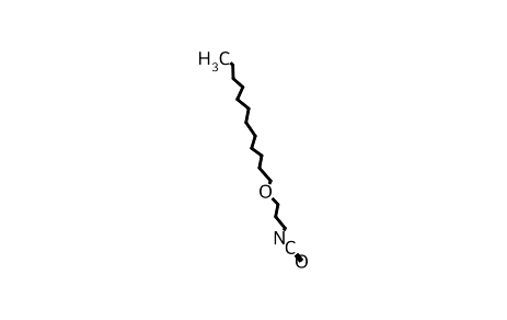 CCCCCCCCCCCCOCCCN=C=O